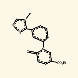 CCOC(=O)c1ccc(=O)n(-c2cccc(-c3nncn3C)c2)c1